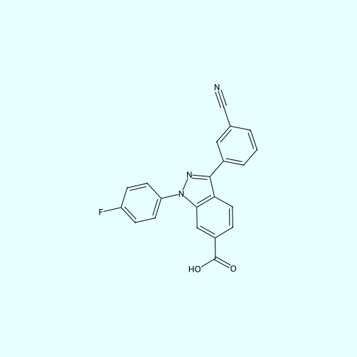 N#Cc1cccc(-c2nn(-c3ccc(F)cc3)c3cc(C(=O)O)ccc23)c1